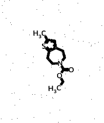 CCOC(=O)N1CCc2cc(C)sc2CC1